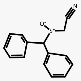 N#CC[S+]([O-])C(c1ccccc1)c1ccccc1